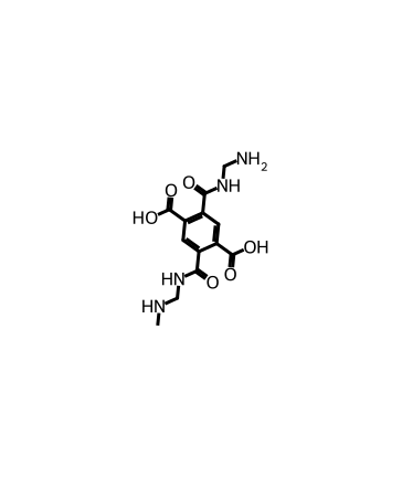 CNCNC(=O)c1cc(C(=O)O)c(C(=O)NCN)cc1C(=O)O